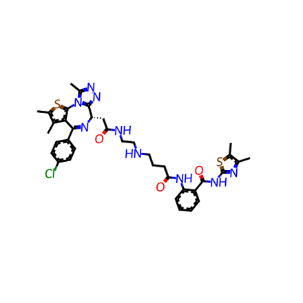 Cc1nc(NC(=O)c2ccccc2NC(=O)CCCNCCNC(=O)C[C@@H]2N=C(c3ccc(Cl)cc3)c3c(sc(C)c3C)-n3c(C)nnc32)sc1C